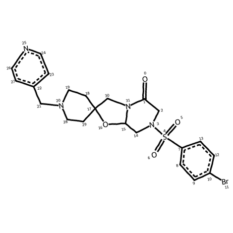 O=C1CN(S(=O)(=O)c2ccc(Br)cc2)CC2OC3(CCN(Cc4ccncc4)CC3)CN12